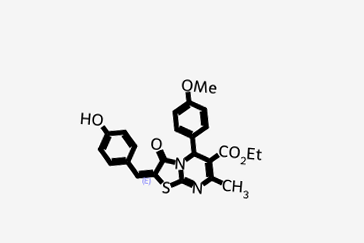 CCOC(=O)C1=C(C)N=c2s/c(=C/c3ccc(O)cc3)c(=O)n2C1c1ccc(OC)cc1